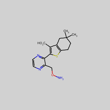 CC1(C)CCc2sc(-c3nccnc3CON)c(C(=O)O)c2C1